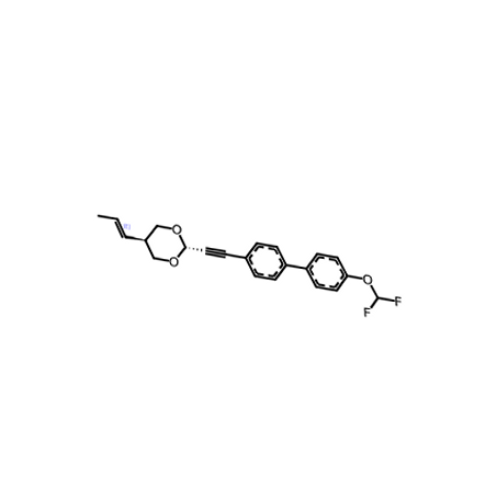 C/C=C/[C@H]1CO[C@H](C#Cc2ccc(-c3ccc(OC(F)F)cc3)cc2)OC1